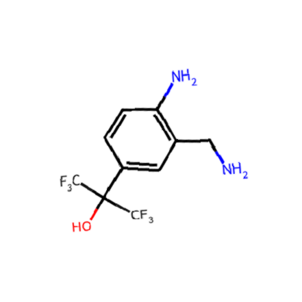 NCc1cc(C(O)(C(F)(F)F)C(F)(F)F)ccc1N